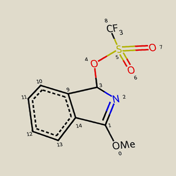 COC1=NC(OS(=O)(=O)C(F)(F)F)c2ccccc21